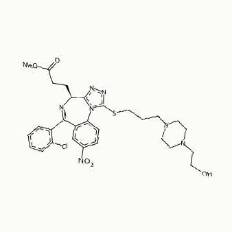 COC(=O)CC[C@@H]1N=C(c2ccccc2Cl)c2cc([N+](=O)[O-])ccc2-n2c(SCCCN3CCN(CCO)CC3)nnc21